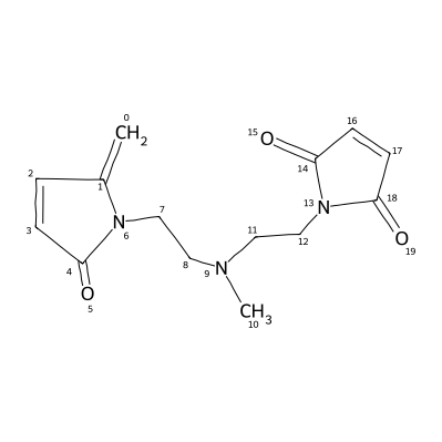 C=C1C=CC(=O)N1CCN(C)CCN1C(=O)C=CC1=O